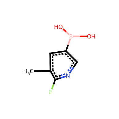 Cc1cc(B(O)O)cnc1F